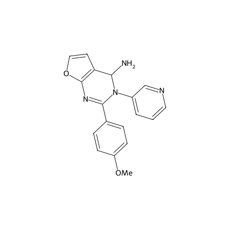 COc1ccc(C2=Nc3occc3C(N)N2c2cccnc2)cc1